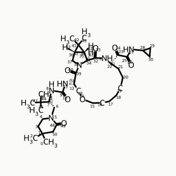 CC1(C)CCN(C[C@@H](NC(=O)N[C@H]2COCCCCCCC[C@@H](C(=O)C(=O)NC3CC3)NC(=O)[C@@H]3[C@@H]4[C@H](CN3C2=O)C4(C)C)C(C)(C)C)C(=O)C1